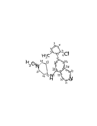 Cc1cccc(Cl)c1-c1cc(NC2CCN(C)CC2)c2ccncc2c1